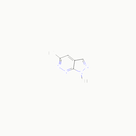 Cc1cc2cnn(C)c2nn1